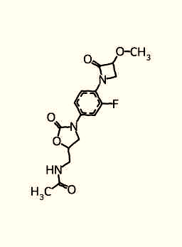 COC1CN(c2ccc(N3CC(CNC(C)=O)OC3=O)cc2F)C1=O